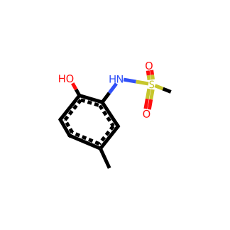 Cc1ccc(O)c(NS(C)(=O)=O)c1